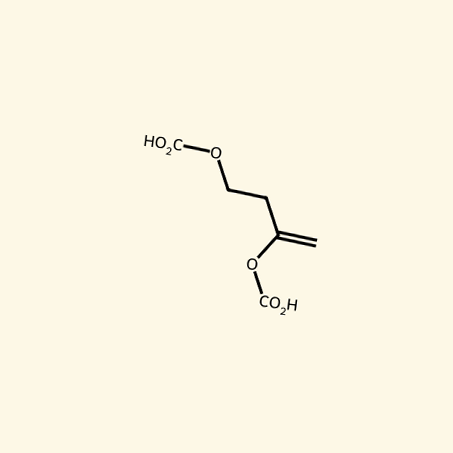 C=C(CCOC(=O)O)OC(=O)O